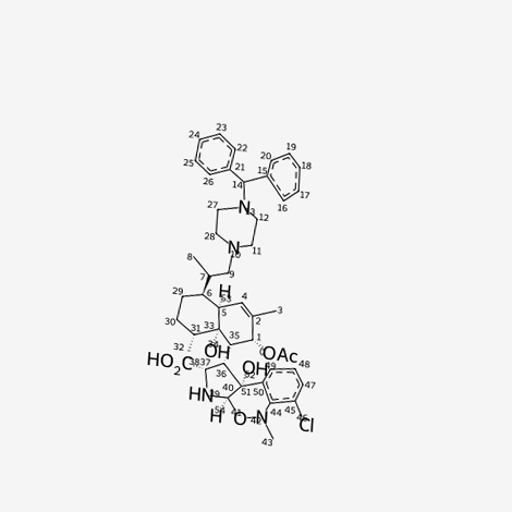 CC(=O)O[C@H]1C(C)=C[C@@H]2[C@H](C(C)CN3CCN(C(c4ccccc4)c4ccccc4)CC3)CC[C@@H](C)[C@]2(O)C1[C@H]1[C@@H](C(=O)O)N[C@@H]2ON(C)c3c(Cl)cccc3[C@@]21O